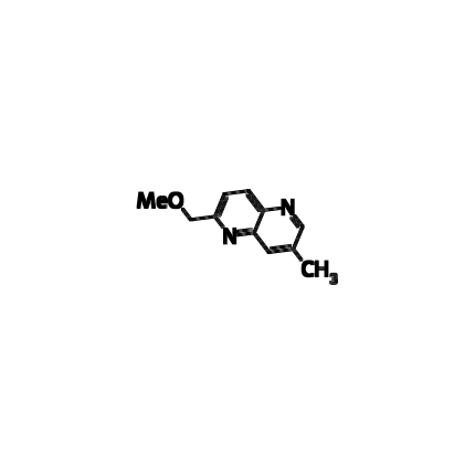 COCc1ccc2ncc(C)cc2n1